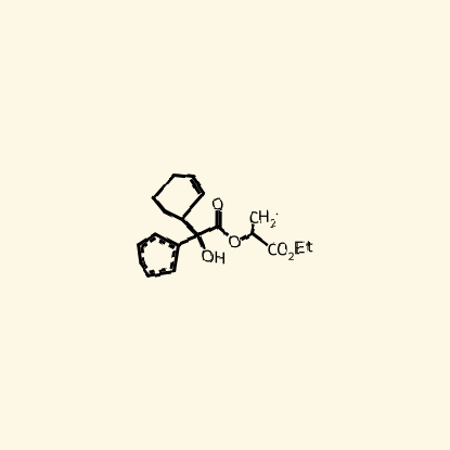 [CH2]C(OC(=O)C(O)(c1ccccc1)C1C=CCCC1)C(=O)OCC